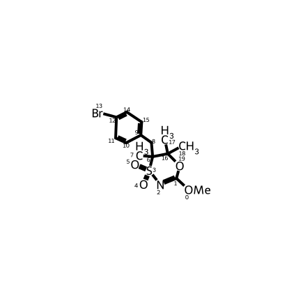 COC1=NS(=O)(=O)C(C)(Cc2ccc(Br)cc2)C(C)(C)O1